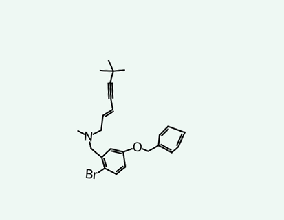 CN(CC=CC#CC(C)(C)C)Cc1cc(OCc2ccccc2)ccc1Br